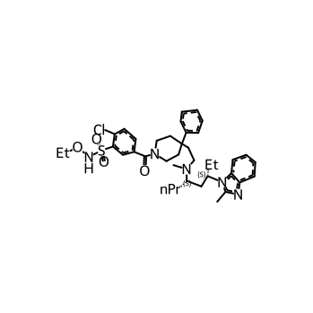 CCC[C@@H](C[C@H](CC)n1c(C)nc2ccccc21)N(C)CCC1(c2ccccc2)CCN(C(=O)c2ccc(Cl)c(S(=O)(=O)NOCC)c2)CC1